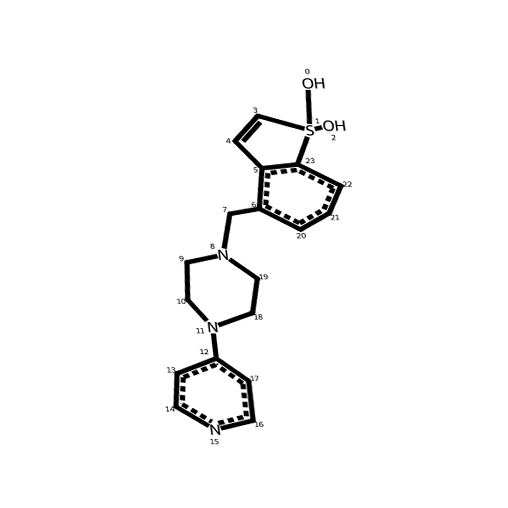 OS1(O)C=Cc2c(CN3CCN(c4ccncc4)CC3)cccc21